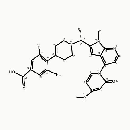 CNc1ccn(-c2ccnc3c2cc([C@@H](C)N2CC=C(c4c(F)cc(C(=O)O)cc4F)CC2)n3C)c(=O)c1